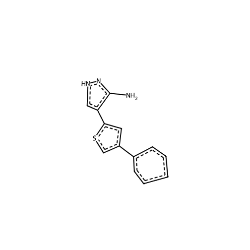 Nc1n[nH]cc1-c1cc(-c2ccccc2)cs1